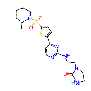 CC1CCCCN1S(=O)(=O)c1ccc(-c2ccnc(NCCN3CCNC3=O)n2)s1